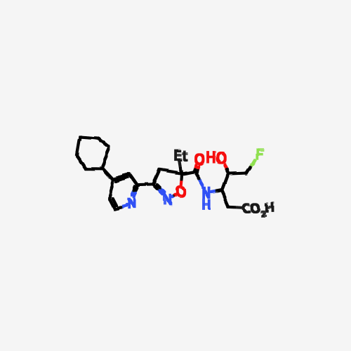 CCC1(C(=O)NC(CC(=O)O)C(O)CF)CC(c2cc(C3CCCCC3)ccn2)=NO1